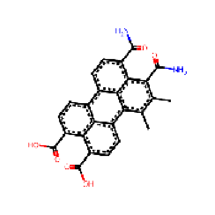 Cc1c(C(N)=O)c2c(C(N)=O)ccc3c4ccc(C(=O)O)c5c(C(=O)O)ccc(c(c1C)c23)c54